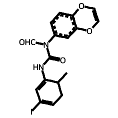 CC1CC=C(I)C=C1NC(=O)N(C=O)c1ccc2c(c1)OC=CO2